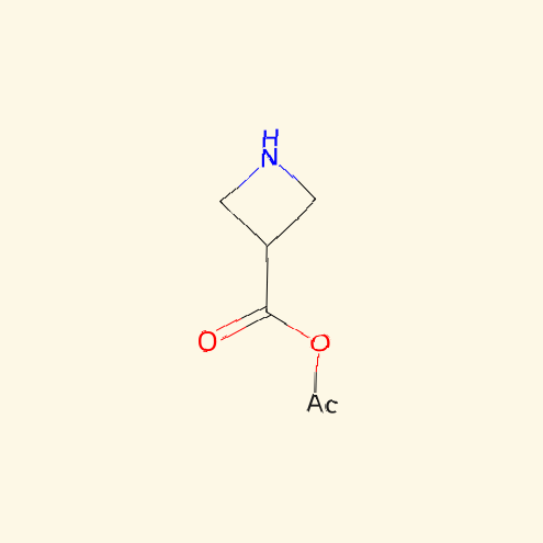 CC(=O)OC(=O)C1CNC1